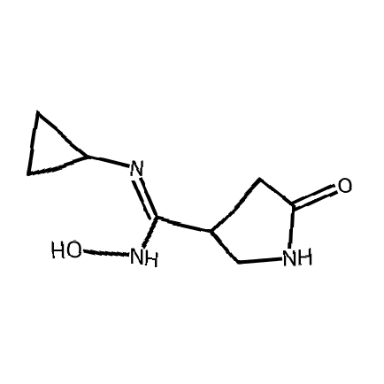 O=C1CC(C(=NC2CC2)NO)CN1